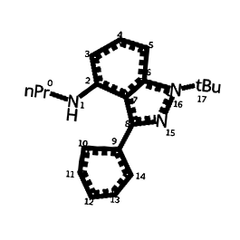 CCCNc1cccc2c1c(-c1ccccc1)nn2C(C)(C)C